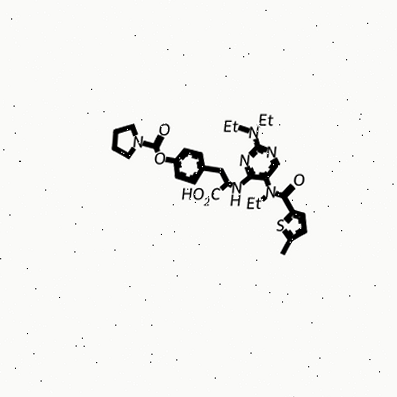 CCN(CC)c1ncc(N(CC)C(=O)c2ccc(C)s2)c(NC(Cc2ccc(OC(=O)N3CCCC3)cc2)C(=O)O)n1